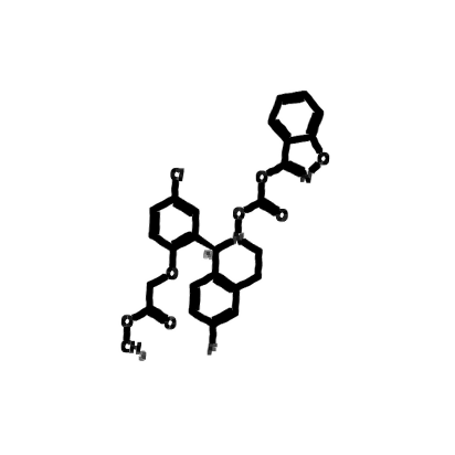 COC(=O)COc1ccc(Cl)cc1[C@@H]1c2ccc(F)cc2CCN1OC(=O)Oc1noc2ccccc12